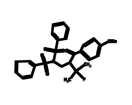 COc1ccc(C(=O)C(CN(S(=O)(=O)c2ccccc2)S(=O)(=O)c2ccccc2)C(C)(C)F)cc1